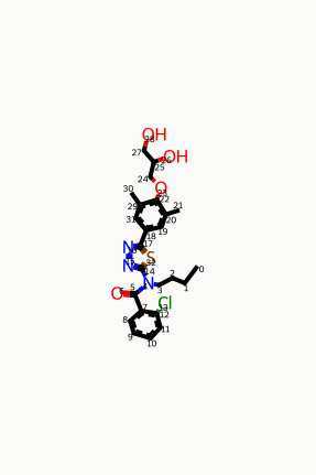 CCCCN(C(=O)c1ccccc1Cl)c1nnc(-c2cc(C)c(OCC(O)CO)c(C)c2)s1